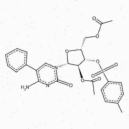 CC(=O)OC[C@H]1O[C@@H](n2cc(-c3ccccc3)c(N)nc2=O)[C@H](OC(C)=O)[C@H]1OS(=O)(=O)c1ccc(C)cc1